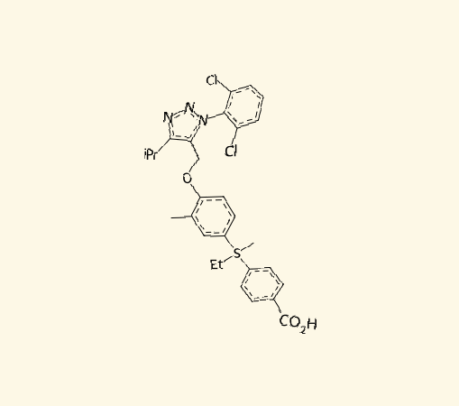 CCS(C)(c1ccc(C(=O)O)cc1)c1ccc(OCc2c(C(C)C)nnn2-c2c(Cl)cccc2Cl)c(C)c1